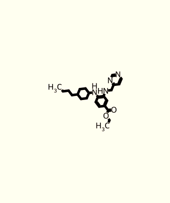 CCCCC1CCC(Nc2ccc(C(=O)OCC)cc2NCc2ccncn2)CC1